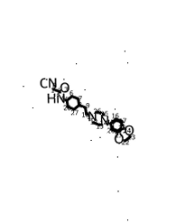 N#CCC(=O)NC1CCC(CCN2CCN(c3ccc4c(c3)OCCO4)CC2)CC1